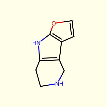 [c]1cc2c3c([nH]c2o1)CCNC3